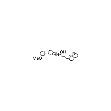 COc1cccc(-c2ccc(CNC(O)CCCc3ccc4cccnc4n3)cc2)c1